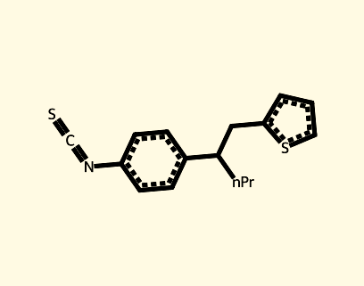 CCCC(Cc1cccs1)c1ccc(N=C=S)cc1